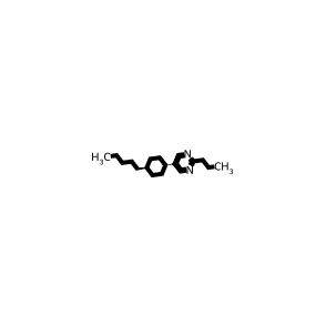 CCCCC[C@H]1CC[C@H](c2cnc(CCC)nc2)CC1